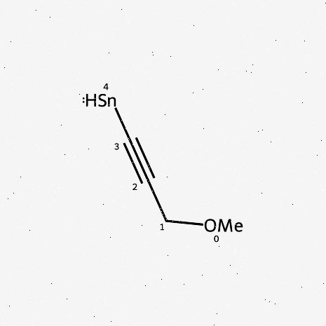 COCC#[C][SnH]